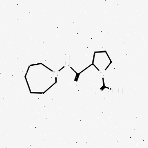 O=C(NN1CCCCCC1)C1CCCN1C(=O)O